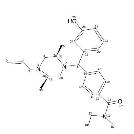 C=CCN1C[C@@H](C)N(C(c2ccc(C(=O)N(C)CC)cc2)c2cccc(O)c2)C[C@H]1C